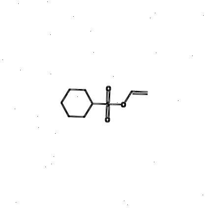 C=COS(=O)(=O)C1CCCCC1